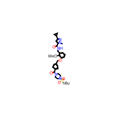 CCCCS(=O)(=O)N1CCN(C(=O)c2ccc(COc3cccc(CNC(=O)c4cc(C5CC5)nn4C)c3OC)cc2)CC1